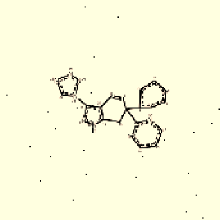 C1=CC(c2ccccc2)(c2ccccn2)Cc2[nH]nc(-n3cnnn3)c21